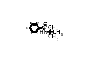 CC(C)(C)N[S+]([O-])c1ccccc1